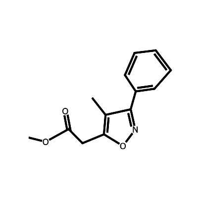 COC(=O)Cc1onc(-c2ccccc2)c1C